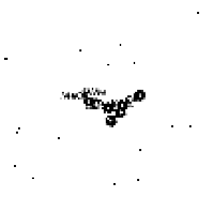 COc1cc(N2CCC3(CC2)CC(C(OC)OC)CO3)ccc1C1=C(c2ccccc2)CCc2cc(OCc3ccccc3)ccc21